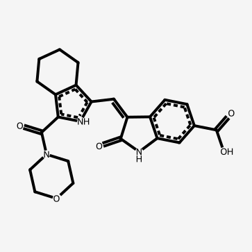 O=C1Nc2cc(C(=O)O)ccc2C1=Cc1[nH]c(C(=O)N2CCOCC2)c2c1CCCC2